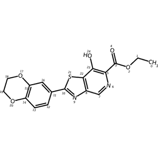 CCOC(=O)c1ncc2nc(-c3ccc4c(c3)OCCO4)sc2c1O